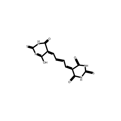 O=C1NC(=S)NC(=O)C1=CC=CC=C1C(=O)NC(=S)N=C1O